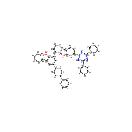 c1ccc(-c2ccc(-c3cc(-c4cccc5c4oc4cc(-c6nc(-c7ccccc7)nc(-c7ccccc7)n6)ccc45)c4oc5ccccc5c4c3)cc2)cc1